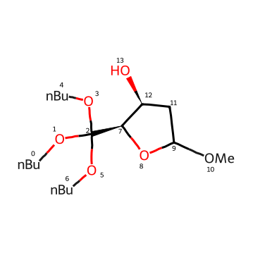 CCCCOC(OCCCC)(OCCCC)[C@@H]1OC(OC)C[C@@H]1O